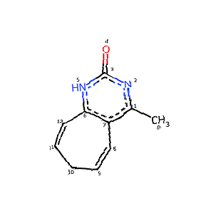 Cc1nc(=O)[nH]c2c1C=CCC=C2